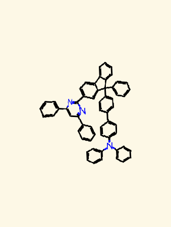 c1ccc(-c2cc(-c3ccccc3)nc(-c3ccc4c(c3)C(c3ccccc3)(c3ccc(-c5ccc(N(c6ccccc6)c6ccccc6)cc5)cc3)c3ccccc3-4)n2)cc1